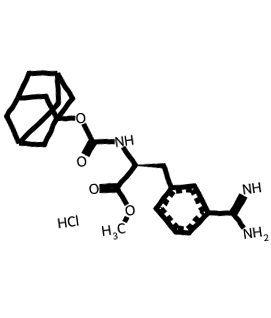 COC(=O)[C@H](Cc1cccc(C(=N)N)c1)NC(=O)OC12CC3CC(CC(C3)C1)C2.Cl